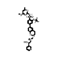 COc1cc(C)nc(NS(=O)(=O)c2ccc(-c3ccc4c(c3)CC[C@H](CNC[C@H](O)c3cccnc3)O4)cc2OC(F)(F)F)n1